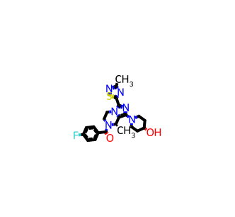 Cc1nsc(-c2nc(N3CCC(O)CC3)c3n2CCN(C(=O)c2ccc(F)cc2)[C@@H]3C)n1